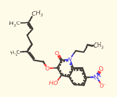 CCCCn1c(=O)c(OCC=C(C)CCC=C(C)C)c(O)c2ccc([N+](=O)[O-])cc21